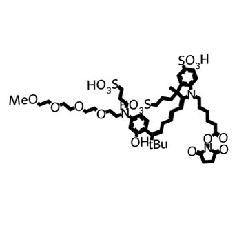 COCCOCCOCCOCCN(CCCS(=O)(=O)O)c1ccc(/C(=C\C/C=C/C=C2/N(CCCCCC(=O)ON3C(=O)CCC3=O)c3ccc(S(=O)(=O)O)cc3C2(C)CCCS(=O)(=O)O)C(C)(C)C)c(O)c1